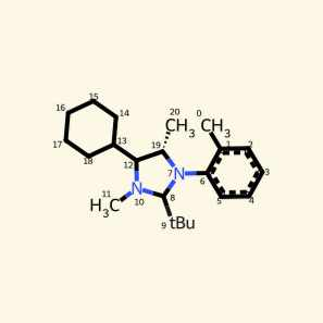 Cc1ccccc1N1C(C(C)(C)C)N(C)C(C2CCCCC2)[C@@H]1C